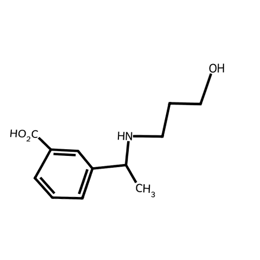 CC(NCCCO)c1cccc(C(=O)O)c1